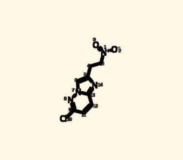 O=[N+]([O-])[CH][CH]c1cn2nc(Cl)ccc2n1